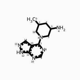 CC1CC(N)CN(c2ncnc3[nH]ncc23)C1